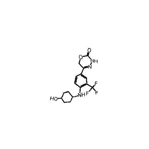 O=C1NN=C(c2ccc(NC3CCC(O)CC3)c(C(F)(F)F)c2)CO1